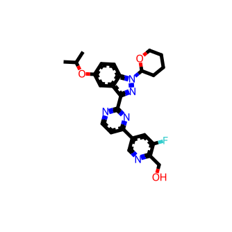 CC(C)Oc1ccc2c(c1)c(-c1nccc(-c3cnc(CO)c(F)c3)n1)nn2C1CCCCO1